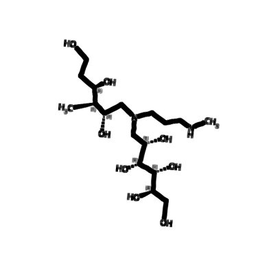 CNCCCN(C[C@H](O)[C@@H](C)[C@H](O)CCO)C[C@H](O)[C@@H](O)[C@H](O)[C@H](O)CO